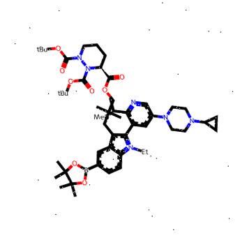 CCn1c(-c2cc(N3CCN(C4CC4)CC3)cnc2[C@H](C)OC)c(CC(C)(C)COC(=O)[C@@H]2CCCN(C(=O)OC(C)(C)C)N2C(=O)OC(C)(C)C)c2cc(B3OC(C)(C)C(C)(C)O3)ccc21